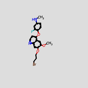 CNc1ccc(Oc2ccnc3cc(OCCCBr)c(OC)cc23)c(F)c1